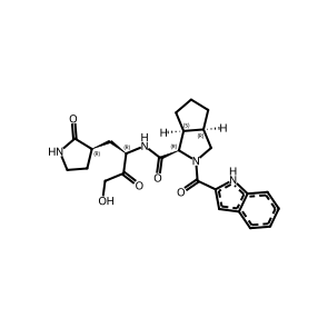 O=C1NCC[C@@H]1C[C@@H](NC(=O)[C@H]1[C@H]2CCC[C@H]2CN1C(=O)c1cc2ccccc2[nH]1)C(=O)CO